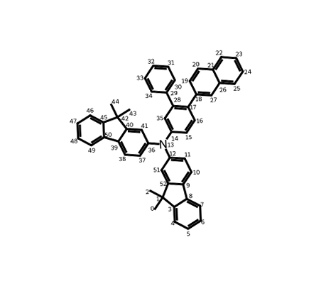 CC1(C)c2ccccc2-c2ccc(N(c3ccc(-c4ccc5ccccc5c4)c(-c4ccccc4)c3)c3ccc4c(c3)C(C)(C)c3ccccc3-4)cc21